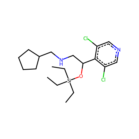 CC[Si](CC)(CC)OC(CNCC1CCCC1)c1c(Cl)cncc1Cl